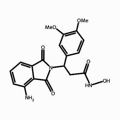 COc1ccc(C(CC(=O)NO)N2C(=O)c3cccc(N)c3C2=O)cc1OC